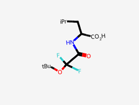 CC(C)CC(NC(=O)C(F)(F)OC(C)(C)C)C(=O)O